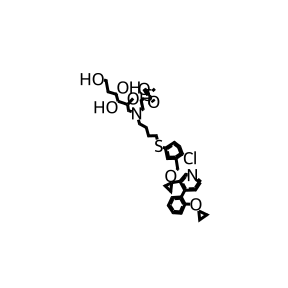 CS(=O)(=O)CCN(CCCCSc1ccc(Cl)c(COC2(c3cnccc3-c3ccccc3OC3CC3)CC2)c1)CC(O)C(O)C(O)CCO